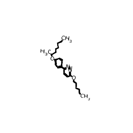 CCCCCCOc1ccc(-c2ccc(OC(C)CCCCCC)cc2)nn1